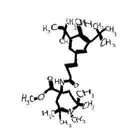 COC(=O)C1(NC(=O)CCc2cc(C(C)(C)C)c(O)c(C(C)(C)C)c2)CC(C)(C)N(C)C(C)(C)C1